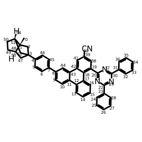 C[C@@]12CC3(c4ccc(-c5ccc6c7ccccc7c7c(-c8nc(-c9ccccc9)nc(-c9ccccc9)n8)cc(C#N)cc7c6c5)cc4)C[C@H]1CC[C@H]2C3